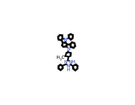 CC1C=C(n2c3ccccc3c3c2ccc2c4ccccc4n(-c4ccccc4)c23)C=CC1C1=NC(c2ccccc2)NC(c2ccccc2)N1